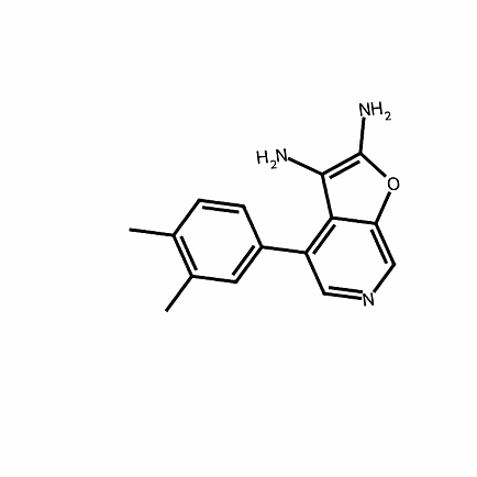 Cc1ccc(-c2cncc3oc(N)c(N)c23)cc1C